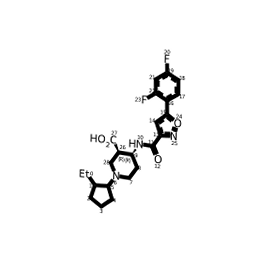 CCC1CCCC1N1CC[C@@H](NC(=O)c2cc(-c3ccc(F)cc3F)on2)[C@H](C(=O)O)C1